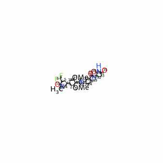 COc1cc(-c2cc(C(F)F)c(=O)n(C)c2)cc(OC)c1C1CN(c2ccc3c(c2)C(=O)N(C2CCC(=O)NC2=O)C3)C1